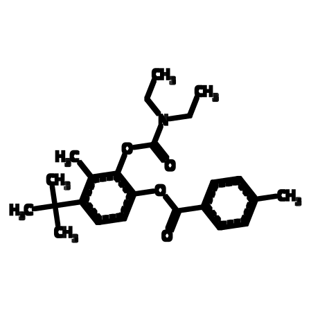 CCN(CC)C(=O)Oc1c(OC(=O)c2ccc(C)cc2)ccc(C(C)(C)C)c1C